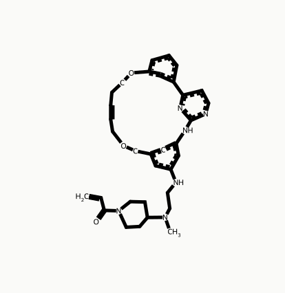 C=CC(=O)N1CCC(N(C)CCNc2cc3cc(c2)Nc2nccc(n2)-c2cccc(c2)OCC/C=C/COC3)CC1